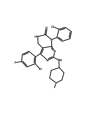 CCc1cc(F)ccc1-c1nc(NC2CCN(C)CC2)nc2c1CNC(=O)N2c1ccccc1Cl